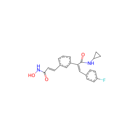 O=C(/C=C/c1cccc(C(=Cc2ccc(F)cc2)C(=O)NC2CC2)c1)NO